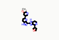 COc1cncc(-c2ccc3[nH]nc(-c4nc5c(-c6ccoc6)nccc5[nH]4)c3n2)c1